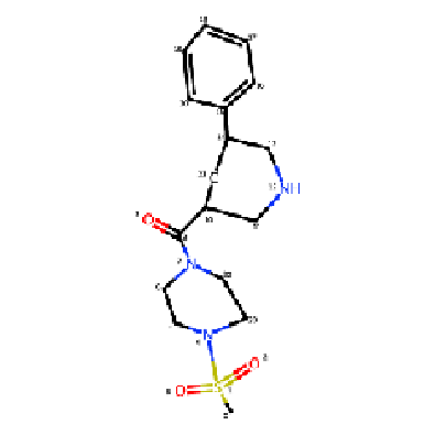 CS(=O)(=O)N1CCN(C(=O)C2CNCC(c3ccccc3)C2)CC1